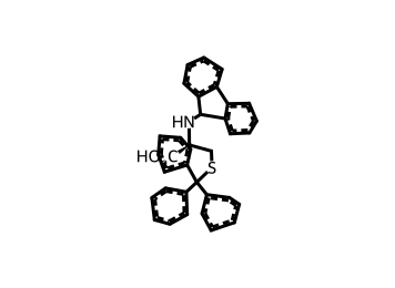 O=C(O)[C@H](CSC(c1ccccc1)(c1ccccc1)c1ccccc1)NC1c2ccccc2-c2ccccc21